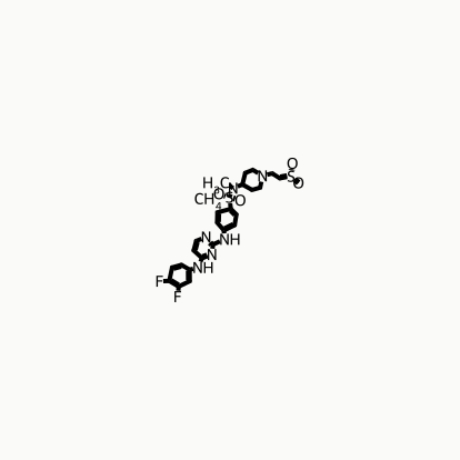 C.CN(C1CCN(CC=S(=O)=O)CC1)S(=O)(=O)c1ccc(Nc2nccc(Nc3ccc(F)c(F)c3)n2)cc1